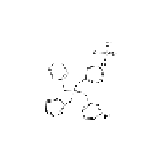 O=S(=O)([O-])[O-].[H+].c1ccc(C[P+](Cc2ccccc2)(Cc2ccccc2)Cc2ccccc2)cc1